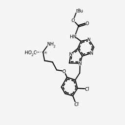 CC(C)(C)OC(=O)Nc1ncnc2c1ncn2Cc1c(OCCC[C@@H](N)C(=O)O)ccc(Cl)c1Cl